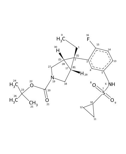 CC[C@@]1(c2cc(NS(=O)(=O)C3CC3)ccc2F)[C@@H]2CN(C(=O)OC(C)(C)C)C[C@@H]21